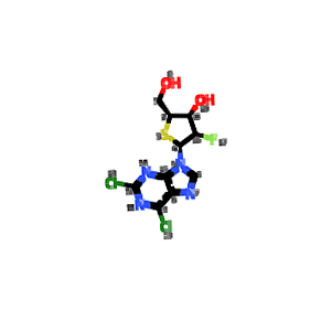 OC[C@@H]1S[C@H](n2cnc3c(Cl)nc(Cl)nc32)[C@H](F)[C@@H]1O